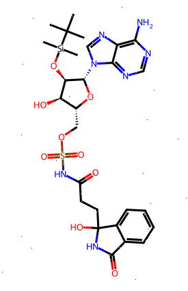 CC(C)(C)[Si](C)(C)O[C@@H]1[C@H](O)[C@@H](COS(=O)(=O)NC(=O)CCC2(O)NC(=O)c3ccccc32)O[C@H]1n1cnc2c(N)ncnc21